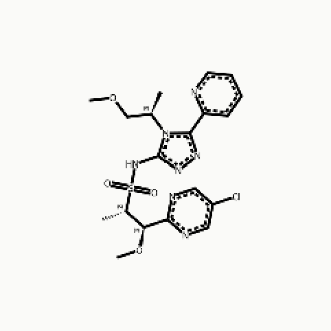 COC[C@@H](C)n1c(NS(=O)(=O)[C@@H](C)[C@H](OC)c2ncc(Cl)cn2)nnc1-c1ccccn1